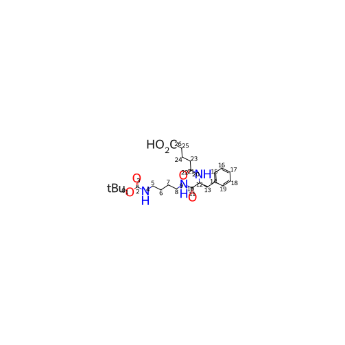 CC(C)(C)OC(=O)NCCCCNC(=O)[C@H](Cc1ccccc1)NC(=O)CCCC(=O)O